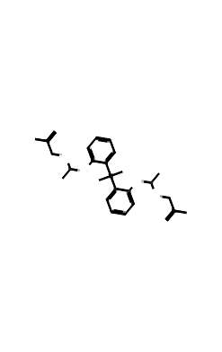 C=C(C)COC(C)Oc1ccccc1C(C)(C)c1ccccc1OC(C)OCC(=C)C